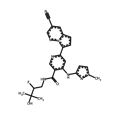 Cn1ccc(Nc2cc(-c3ccc4cc(C#N)cnn34)ncc2C(=O)NCC(F)C(C)(C)O)n1